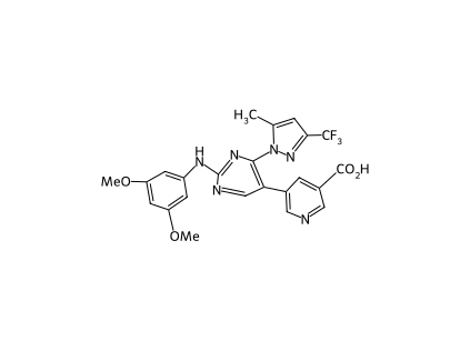 COc1cc(Nc2ncc(-c3cncc(C(=O)O)c3)c(-n3nc(C(F)(F)F)cc3C)n2)cc(OC)c1